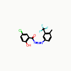 Cc1ccc(N=[N+]=NC(=O)c2cc(Cl)ccc2O)cc1C(F)(F)F